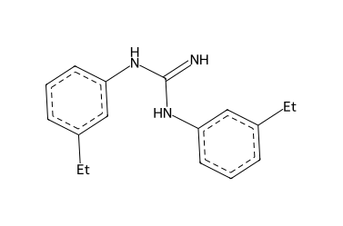 CCc1cccc(NC(=N)Nc2cccc(CC)c2)c1